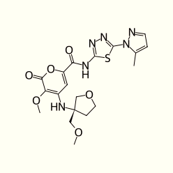 COC[C@]1(Nc2cc(C(=O)Nc3nnc(-n4nccc4C)s3)oc(=O)c2OC)CCOC1